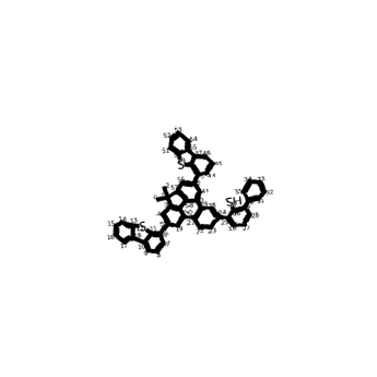 CC1(C)c2cc(-c3cccc4c3sc3ccccc34)cc3c4ccc(-c5cccc(-c6ccccc6)c5S)cc4c4cc(-c5cccc6c5sc5ccccc56)cc1c4c23